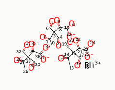 CC(=O)C(C=O)(C=O)C(=O)C(=O)[O-].CC(=O)C(C=O)(C=O)C(=O)C(=O)[O-].CC(=O)C(C=O)(C=O)C(=O)C(=O)[O-].[Rh+3]